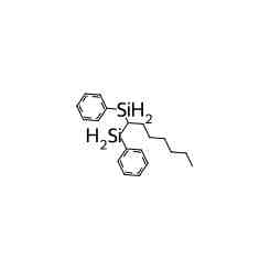 CCCCCCC([SiH2]c1ccccc1)[SiH2]c1ccccc1